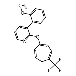 COc1ccccc1-c1cccnc1OC1=CC=C(C(F)(F)F)CC=C1